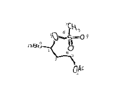 CCCCC(CCOC(C)=O)OS(C)(=O)=O